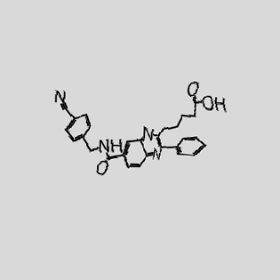 N#Cc1ccc(CNC(=O)c2ccc3nc(-c4ccccc4)c(CCCCC(=O)O)nc3c2)cc1